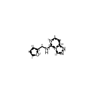 c1coc(CNc2nccc3nncn23)c1